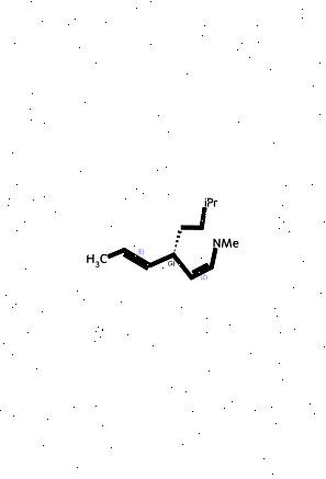 C/C=C/[C@@H](/C=C\NC)CCC(C)C